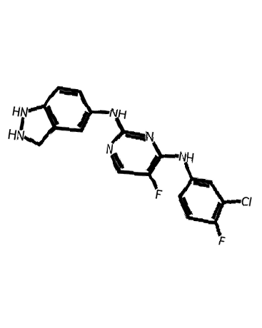 Fc1ccc(Nc2nc(Nc3ccc4c(c3)CNN4)ncc2F)cc1Cl